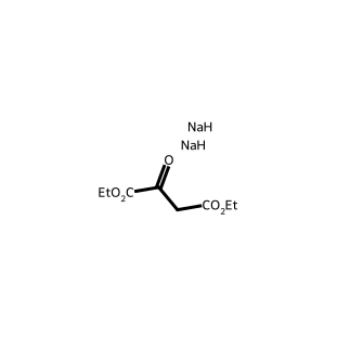 CCOC(=O)CC(=O)C(=O)OCC.[NaH].[NaH]